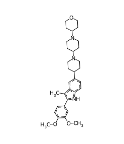 COc1ccc(-c2[nH]c3ccc(C4CCN(C5CCN(C6CCOCC6)CC5)CC4)cc3c2C)cc1OC